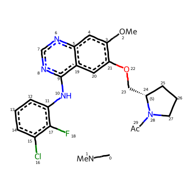 CNC.COc1cc2ncnc(Nc3cccc(Cl)c3F)c2cc1OC[C@@H]1CCCN1C(C)=O